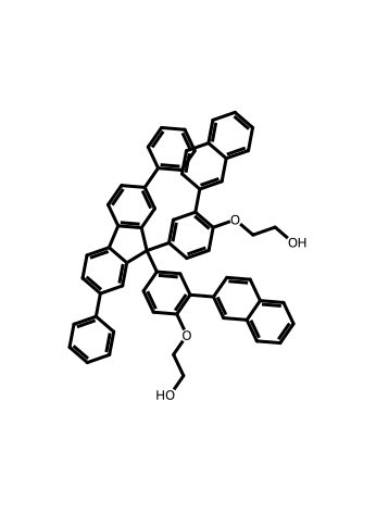 OCCOc1ccc(C2(c3ccc(OCCO)c(-c4ccc5ccccc5c4)c3)c3cc(-c4ccccc4)ccc3-c3ccc(-c4ccccc4)cc32)cc1-c1ccc2ccccc2c1